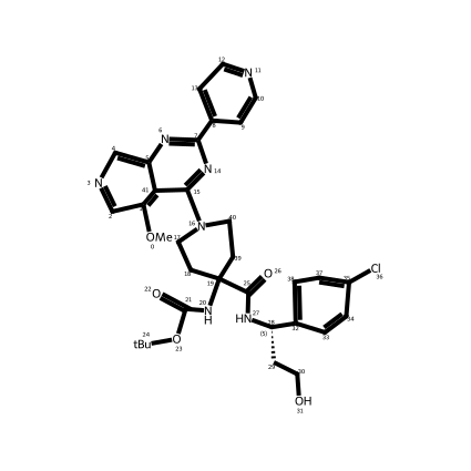 COc1cncc2nc(-c3ccncc3)nc(N3CCC(NC(=O)OC(C)(C)C)(C(=O)N[C@@H](CCO)c4ccc(Cl)cc4)CC3)c12